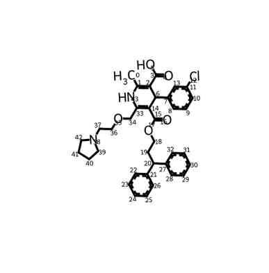 CC1=C(C(=O)O)C(c2cccc(Cl)c2)C(C(=O)OCCC(c2ccccc2)c2ccccc2)=C(COCCN2CCCC2)N1